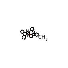 Cc1ccc2c(c1)c1ccccc1n2-c1ccccc1-c1cnc2c3c(c4ccccc4c2n1)CCC=C3